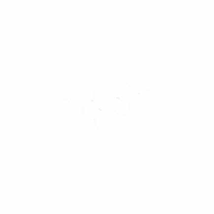 CC1=CC(=O)N(c2nc(C3(C)CC3)cs2)C1=O